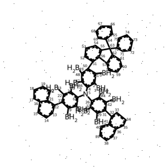 Bc1c(B)c(N(c2c(B)c(B)c(-c3cccc4ccccc34)c(B)c2B)c2c(B)c(B)c(-c3cccc4ccccc34)c(B)c2B)c(B)c(B)c1-c1cccc2c1-c1ccccc1C2(c1ccccc1)c1ccccc1